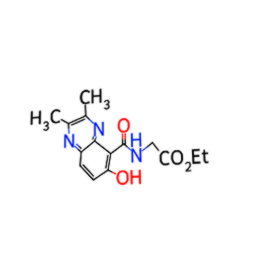 CCOC(=O)CNC(=O)c1c(O)ccc2nc(C)c(C)nc12